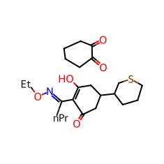 CCC/C(=N\OCC)C1=C(O)CC(C2CCCSC2)CC1=O.O=C1CCCCC1=O